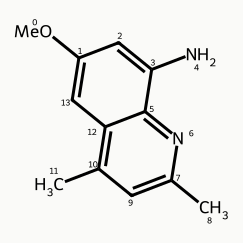 COc1cc(N)c2nc(C)cc(C)c2c1